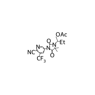 CCC(COC(C)=O)N1C(=O)N(c2cnc(C#N)c(C(F)(F)F)c2)C(=O)C1(C)C